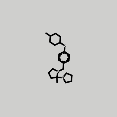 CC1CCC(Sc2ccc(CN3CCCC3(C)N3CCCC3)cc2)CC1